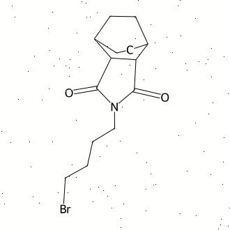 O=C1C2C3CCC(CC3)C2C(=O)N1CCCCBr